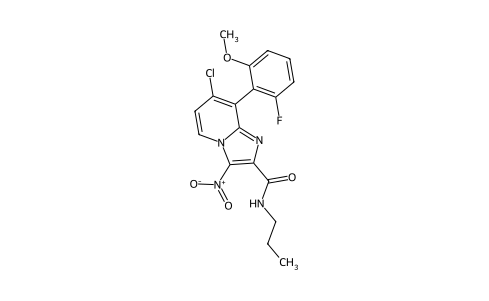 CCCNC(=O)c1nc2c(-c3c(F)cccc3OC)c(Cl)ccn2c1[N+](=O)[O-]